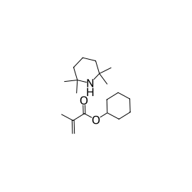 C=C(C)C(=O)OC1CCCCC1.CC1(C)CCCC(C)(C)N1